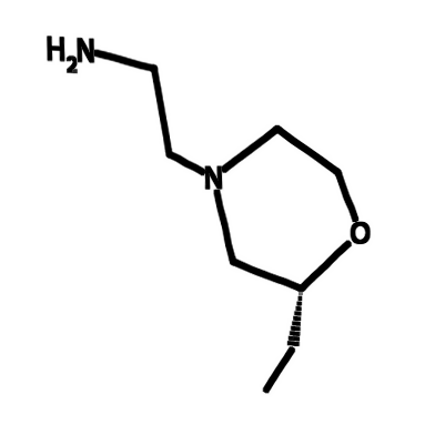 CC[C@@H]1CN(CCN)CCO1